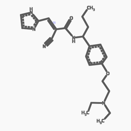 CCCC(NC(=O)/C(C#N)=C/c1ncc[nH]1)c1ccc(OCCN(CC)CC)cc1